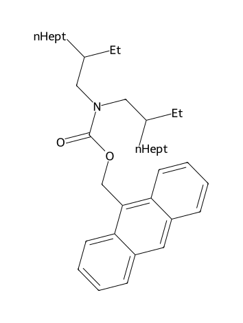 CCCCCCCC(CC)CN(CC(CC)CCCCCCC)C(=O)OCc1c2ccccc2cc2ccccc12